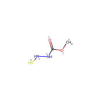 COC(=O)NNS